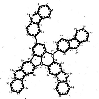 c1ccc2c(c1)oc1ccc(-c3cc4c5c(c3)N(c3ccc6c(c3)sc3ccccc36)c3cc6sc7ccccc7c6cc3B5c3cc5c(cc3-4)sc3ccccc35)cc12